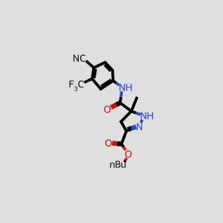 CCCCOC(=O)C1=NNC(C)(C(=O)Nc2ccc(C#N)c(C(F)(F)F)c2)C1